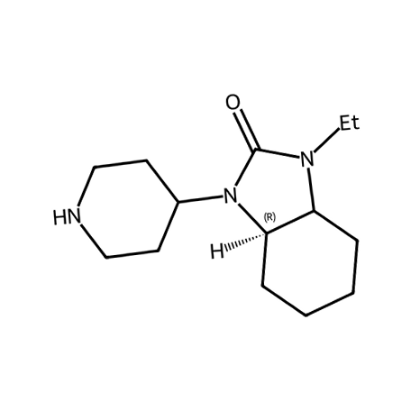 CCN1C(=O)N(C2CCNCC2)[C@@H]2CCCCC21